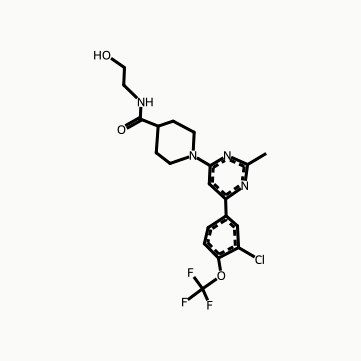 Cc1nc(-c2ccc(OC(F)(F)F)c(Cl)c2)cc(N2CCC(C(=O)NCCO)CC2)n1